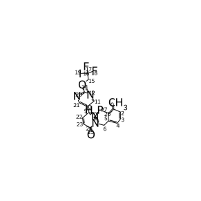 Cc1cccc(Cn2nc(-c3cnc(OCC(F)(F)I)nc3)ccc2=O)c1P